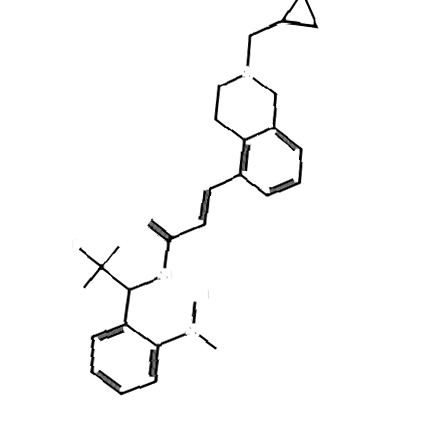 CN(C)c1ccccc1C(NC(=O)/C=C/c1cccc2c1CCN(CC1CC1)C2)C(F)(F)F